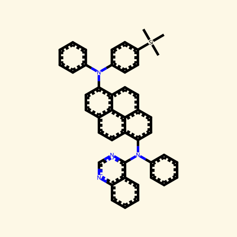 C[Si](C)(C)c1ccc(N(c2ccccc2)c2ccc3ccc4c(N(c5ccccc5)c5ncnc6ccccc56)ccc5ccc2c3c54)cc1